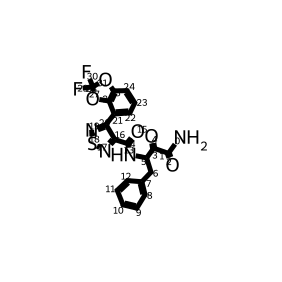 NC(=O)C(=O)C(Cc1ccccc1)NC(=O)c1nsnc1-c1cccc2c1OC(F)(F)O2